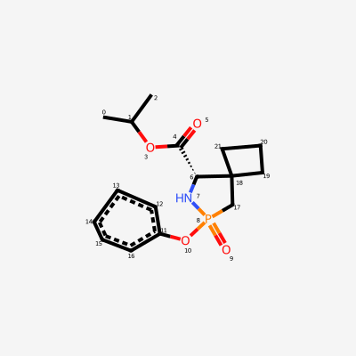 CC(C)OC(=O)[C@H]1NP(=O)(Oc2ccccc2)CC12CCC2